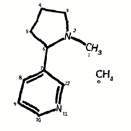 C.CN1CCCC1c1cccnc1